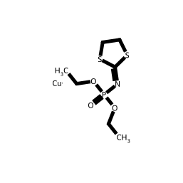 CCOP(=O)(N=C1SCCS1)OCC.[Cu]